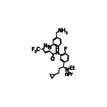 CCCN(CC)C(CCC1CC1)c1ccc(F)c(NC(=O)c2cc(C(F)(F)F)nn2-c2cccc(CN)c2)c1